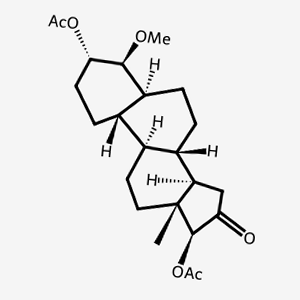 CO[C@H]1[C@H]2CC[C@H]3[C@@H](CC[C@@]4(C)[C@H](OC(C)=O)C(=O)C[C@H]34)[C@@H]2CC[C@@H]1OC(C)=O